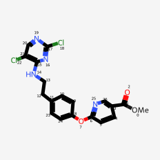 COC(=O)c1ccc(Oc2ccc(CCNc3nc(Cl)ncc3Cl)cc2)nc1